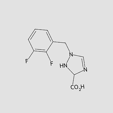 O=C(O)C1N=CN(Cc2cccc(F)c2F)N1